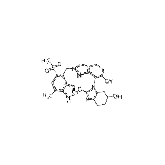 Cc1cc(S(C)(=O)=O)c(Cn2cc3ccc(C#N)c(-n4c(C)nc5c4CC(O)CC5)c3n2)c2cc[nH]c12